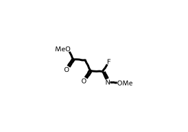 CON=C(F)C(=O)CC(=O)OC